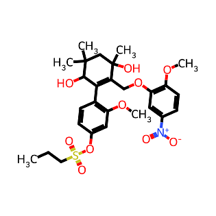 CCCS(=O)(=O)Oc1ccc(C2=C(COc3cc([N+](=O)[O-])ccc3OC)C(C)(O)CC(C)(C)C2O)c(OC)c1